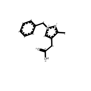 Cc1nn(Cc2ccccc2)cc1CC(=O)O